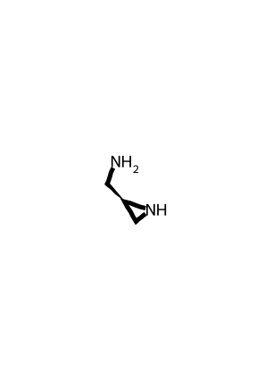 NC[C@@H]1CN1